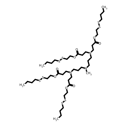 CCCCSSCCOC(=O)CCN(CCCN(C)CCCN(CCC(=O)OCCSSCCCC)CCC(=O)OCCSSCCCC)CCC(=O)OCCSSCCCC